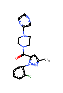 O=C(c1cc(C(F)(F)F)nn1-c1ccccc1Cl)N1CCN(c2cnccn2)CC1